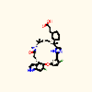 CN1CC(C)(C)CCCC(C)(c2cccc(CCC(=O)O)c2)c2cnc([nH]2)-c2cc(ccc2F)Oc2c(F)cc3[nH]ccc3c2CCC1=O